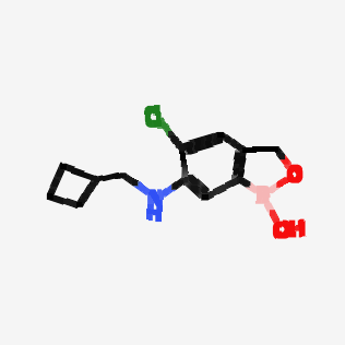 OB1OCc2cc(Cl)c(NCC3CCC3)cc21